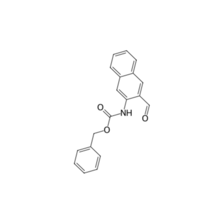 O=Cc1cc2ccccc2cc1NC(=O)OCc1ccccc1